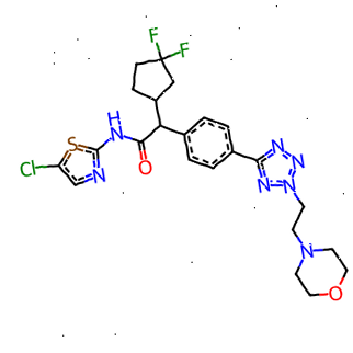 O=C(Nc1ncc(Cl)s1)C(c1ccc(-c2nnn(CCN3CCOCC3)n2)cc1)C1CCC(F)(F)C1